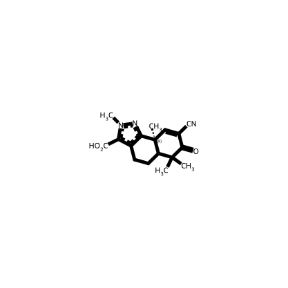 Cn1nc2c(c1C(=O)O)CCC1C(C)(C)C(=O)C(C#N)=C[C@]21C